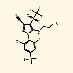 CCCNc1c(S(=O)(=O)C(F)(F)F)c(C#N)nn1-c1c(Cl)cc(C(F)(F)F)cc1Cl